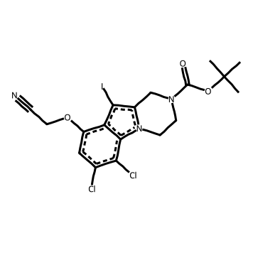 CC(C)(C)OC(=O)N1CCn2c(c(I)c3c(OCC#N)cc(Cl)c(Cl)c32)C1